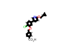 O=C(O)c1ccc(COc2cc(-c3ccc(OCC4CC4)nc3)ccc2Cl)cc1